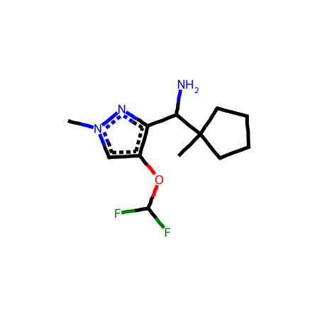 Cn1cc(OC(F)F)c(C(N)C2(C)CCCC2)n1